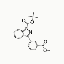 COC(=O)c1cccc(-c2nn(C(=O)OC(C)(C)C)c3ccccc23)c1